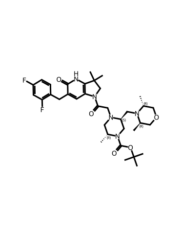 C[C@@H]1CN(CC(=O)N2CC(C)(C)c3[nH]c(=O)c(Cc4ccc(F)cc4F)cc32)[C@@H](CN2[C@H](C)COC[C@H]2C)CN1C(=O)OC(C)(C)C